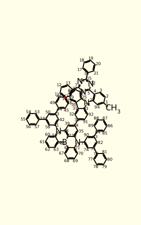 Cc1ccc(-c2nc(-c3ccccc3)nc(-c3ccccc3)n2)c(-n2c3ccccc3c3cc(-c4cc5c6c(c4)N(c4cc(-c7ccccc7)cc(-c7ccccc7)c4)c4ccccc4B6c4ccccc4N5c4cc(-c5ccccc5)cc(-c5ccccc5)c4)ccc32)c1